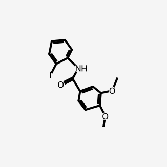 COc1ccc(C(=O)Nc2ccccc2I)cc1OC